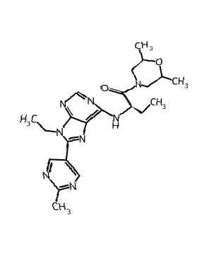 CC[C@@H](Nc1ncnc2c1nc(-c1cnc(C)nc1)n2CC)C(=O)N1CC(C)OC(C)C1